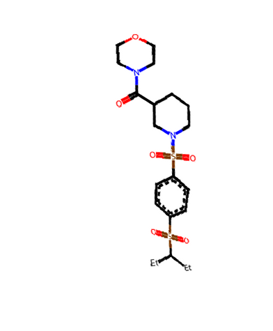 CCC(CC)S(=O)(=O)c1ccc(S(=O)(=O)N2CCCC(C(=O)N3CCOCC3)C2)cc1